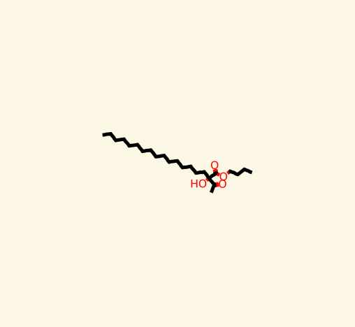 CCCCCCCCCCCCCCCCC(O)(C(C)=O)C(=O)OCCCC